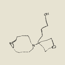 OCCC1(N2CCOCC2)COC1